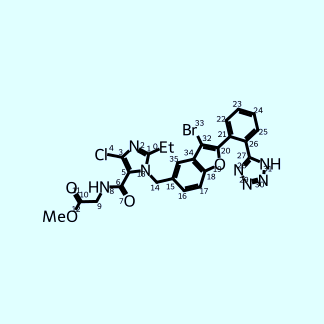 CCc1nc(Cl)c(C(=O)NCC(=O)OC)n1Cc1ccc2oc(-c3ccccc3-c3nnn[nH]3)c(Br)c2c1